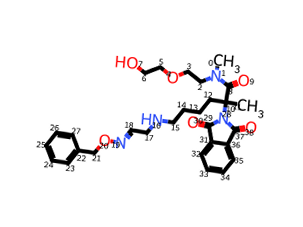 CN(CCOCCO)C(=O)C(C)(CCCCNCC=NOCc1ccccc1)N1C(=O)c2ccccc2C1=O